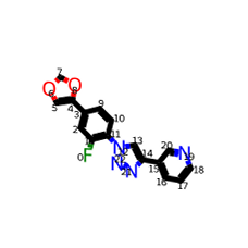 Fc1cc(C2=COCO2)ccc1-n1cc(-c2cccnc2)nn1